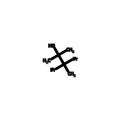 CC(C)C(C)(C(C)C)C(C)(C)O